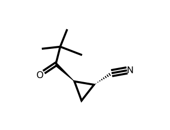 CC(C)(C)C(=O)[C@@H]1C[C@H]1C#N